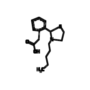 CCCCCN1CCSC1c1ccccc1CC(=O)O